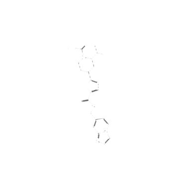 CC(C)C1CC(c2ccc(C(=O)NCc3ccn4ccnc4c3)s2)CCN1C(=O)O